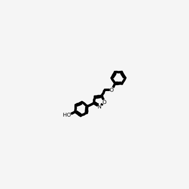 Oc1ccc(-c2cc(COc3ccccc3)on2)cc1